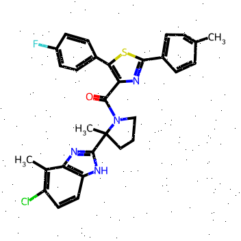 Cc1ccc(-c2nc(C(=O)N3CCCC3(C)c3nc4c(C)c(Cl)ccc4[nH]3)c(-c3ccc(F)cc3)s2)cc1